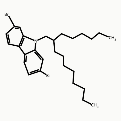 CCCCCCCCC(CCCCCC)Cn1c2cc(Br)ccc2c2ccc(Br)cc21